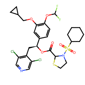 O=C(O[C@@H](Cc1c(Cl)cncc1Cl)c1ccc(OC(F)F)c(OCC2CC2)c1)C1SCCN1S(=O)(=O)C1CCCCC1